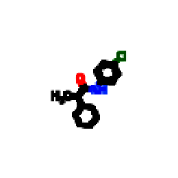 CC(C(=O)Nc1ccc(Cl)cc1)C1CCCCC1